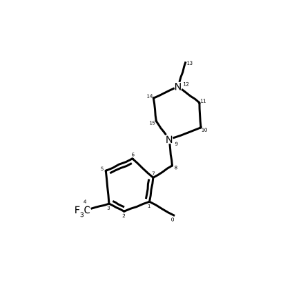 Cc1cc(C(F)(F)F)ccc1CN1CCN(C)CC1